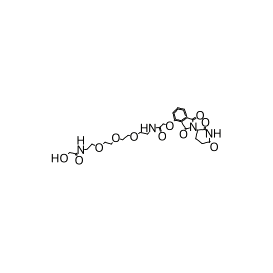 O=C(CO)NCCOCCOCCOCCNC(=O)COc1cccc2c1C(=O)N(C1CCC(=O)NC1=O)C2=O